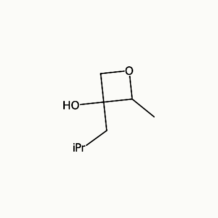 CC(C)CC1(O)COC1C